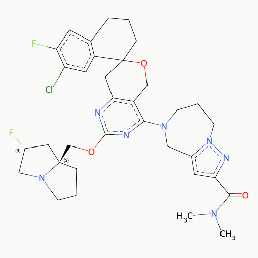 CN(C)C(=O)c1cc2n(n1)CCCN(c1nc(OC[C@@]34CCCN3C[C@H](F)C4)nc3c1COC1(CCCc4cc(F)c(Cl)cc41)C3)C2